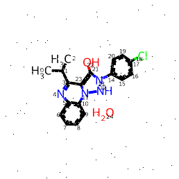 CC(C)C1=Nc2ccccc2N2NN(c3ccc(Cl)cc3)C(O)=C12.O